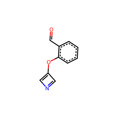 O=Cc1ccccc1OC1=CN=C1